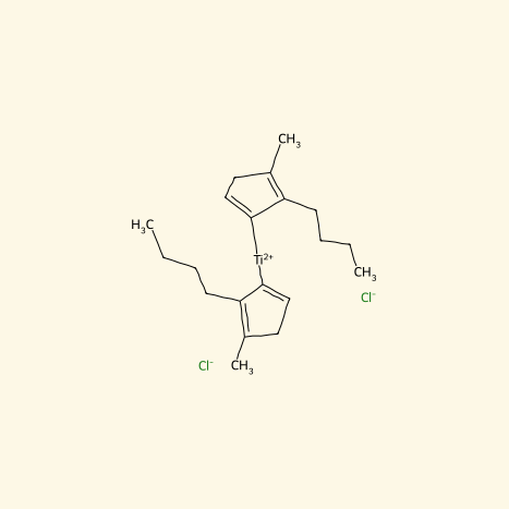 CCCCC1=C(C)CC=[C]1[Ti+2][C]1=CCC(C)=C1CCCC.[Cl-].[Cl-]